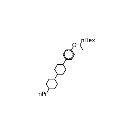 CCCCCCC(C)Oc1ccc(C2CCC(C3CCC(CCC)CC3)CC2)cc1